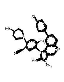 Cc1cc(N2CCC(O)CC2)c(C#N)cc1-n1c(=N)n(C)c2cnc3ccc(-c4ccc(Cl)cc4)cc3c21